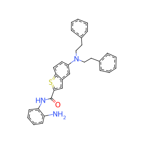 Nc1ccccc1NC(=O)c1cc2cc(N(CCc3ccccc3)CCc3ccccc3)ccc2s1